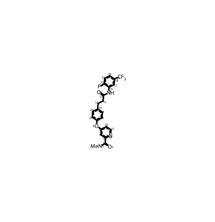 CNC(=O)c1cc(Oc2ccc(CCC(=O)Nc3cc(C(F)(F)F)ccc3F)cc2)ccn1